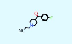 N#CCCN1CCC(C(=O)c2ccc(F)cc2)CC1